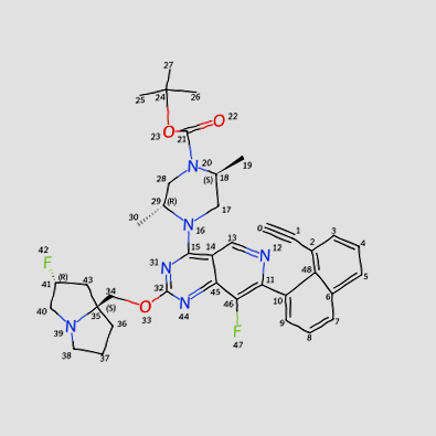 C#Cc1cccc2cccc(-c3ncc4c(N5C[C@H](C)N(C(=O)OC(C)(C)C)C[C@H]5C)nc(OC[C@@]56CCCN5C[C@H](F)C6)nc4c3F)c12